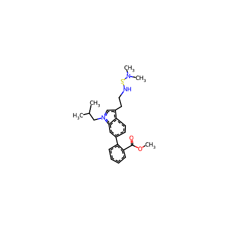 COC(=O)c1ccccc1-c1ccc2c(CCNSN(C)C)cn(CC(C)C)c2c1